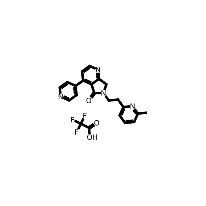 Cc1cccc(CCN2Cc3nccc(-c4ccncc4)c3C2=O)n1.O=C(O)C(F)(F)F